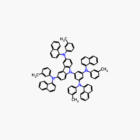 Cc1cccc(N(c2cc(N(c3cccc(C)c3)c3cccc4ccccc34)cc(-n3c4ccc(N(c5cccc(C)c5)c5cccc6ccccc56)cc4c4cc(N(c5cccc(C)c5)c5cccc6ccccc56)ccc43)c2)c2cccc3ccccc23)c1